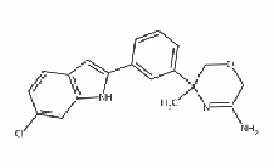 CC1(c2cccc(-c3cc4ccc(Cl)cc4[nH]3)c2)COCC(N)=N1